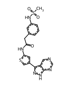 CS(=O)(=O)Nc1cccc(CC(=O)Nc2cc(-c3n[nH]c4ncncc34)cs2)c1